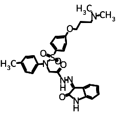 Cc1ccc(N(CC(=O)N/N=C2\C(=O)Nc3ccccc32)S(=O)(=O)c2ccc(OCCCN(C)C)cc2)cc1